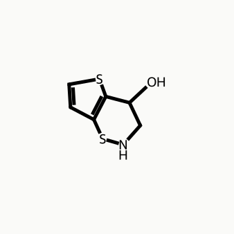 OC1CNSc2ccsc21